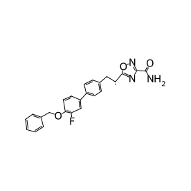 NC(=O)c1noc([CH]Cc2ccc(-c3ccc(OCc4ccccc4)c(F)c3)cc2)n1